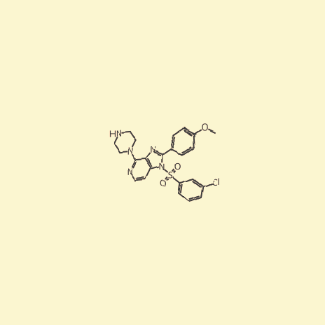 COc1ccc(-c2nc3c(N4CCNCC4)nccc3n2S(=O)(=O)c2cccc(Cl)c2)cc1